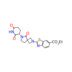 CCOC(=O)c1ccc2nc(N3CC4(CCN(C5CCC(=O)NC5=O)C4=O)C3)sc2c1